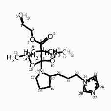 C=CCOC(=O)C(C)(C)C(O[SiH2]C)(O[SiH2]C)N1CCCC1CCCn1ccnc1